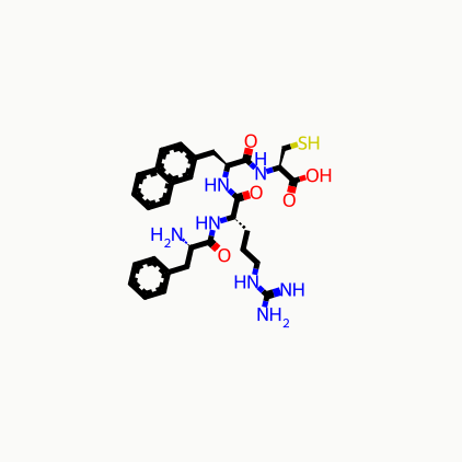 N=C(N)NCCC[C@H](NC(=O)[C@@H](N)Cc1ccccc1)C(=O)N[C@@H](Cc1ccc2ccccc2c1)C(=O)N[C@@H](CS)C(=O)O